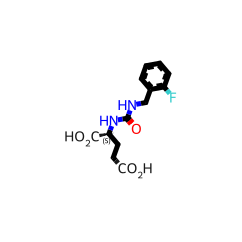 O=C(O)CC[C@H](NC(=O)NCc1ccccc1F)C(=O)O